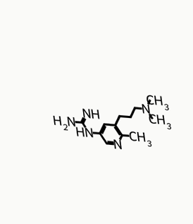 Cc1ncc(NC(=N)N)cc1CCCN(C)C